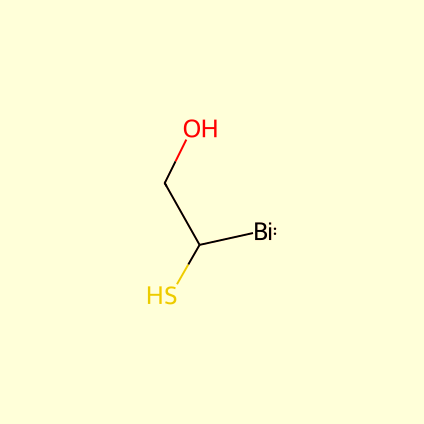 OC[CH](S)[Bi]